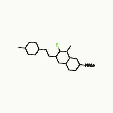 CNC1CCC2CC(CCC3CCC(C)CC3)C(F)C(C)C2C1